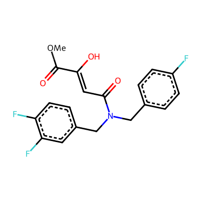 COC(=O)C(O)=CC(=O)N(Cc1ccc(F)cc1)Cc1ccc(F)c(F)c1